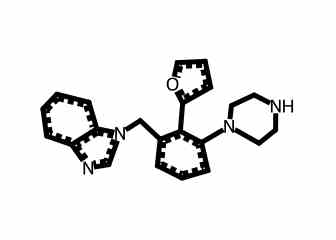 c1coc(-c2c(Cn3cnc4ccccc43)cccc2N2CCNCC2)c1